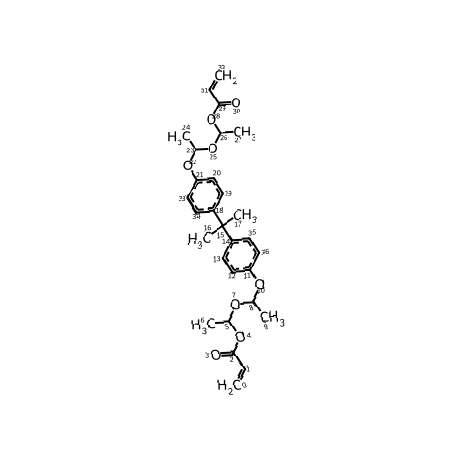 C=CC(=O)OC(C)OC(C)Oc1ccc(C(C)(C)c2ccc(OC(C)OC(C)OC(=O)C=C)cc2)cc1